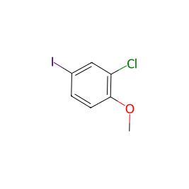 COc1ccc(I)cc1Cl